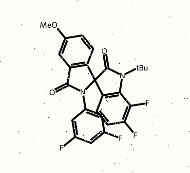 COc1ccc2c(c1)C(=O)N(c1cc(F)cc(F)c1)C21C(=O)N(C(C)(C)C)c2c1ccc(F)c2F